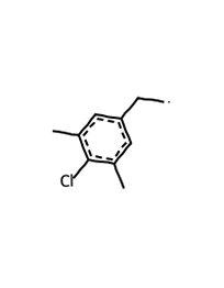 [CH2]Cc1cc(C)c(Cl)c(C)c1